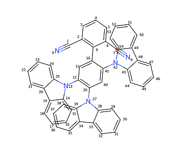 N#Cc1cccc(C#N)c1-c1cc(-n2c3ccccc3c3ccccc32)c(-n2c3ccccc3c3ccccc32)cc1-n1c2ccccc2c2ccccc21